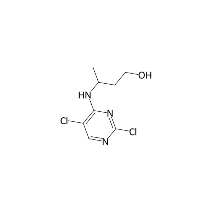 CC(CCO)Nc1nc(Cl)ncc1Cl